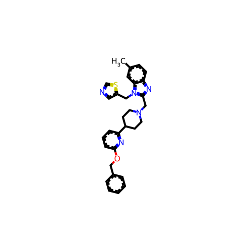 Cc1ccc2nc(CN3CCC(c4cccc(OCc5ccccc5)n4)CC3)n(Cc3cncs3)c2c1